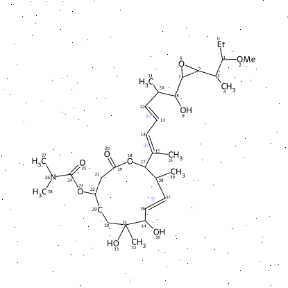 CCC(OC)C(C)C1OC1C(O)C(C)/C=C/C=C(\C)C1OC(=O)CC(OC(=O)N(C)C)CCC(C)(O)C(O)/C=C/C1C